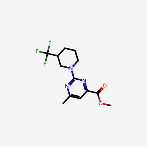 COC(=O)c1cc(C)nc(N2CCCC(C(F)(F)F)C2)n1